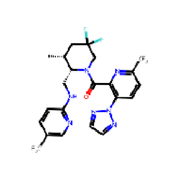 C[C@@H]1CC(F)(F)CN(C(=O)c2nc(C(F)(F)F)ccc2-n2nccn2)[C@@H]1CNc1ccc(C(F)(F)F)cn1